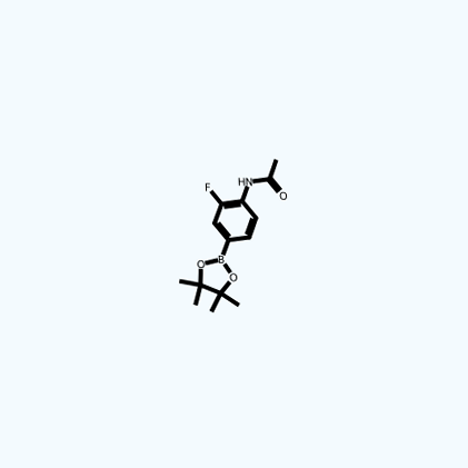 CC(=O)Nc1ccc(B2OC(C)(C)C(C)(C)O2)cc1F